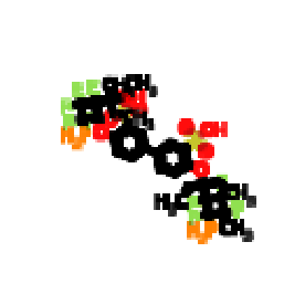 CCC(C)(CC)C1(F)C(F)(F)C(F)(P)C1(F)Oc1ccc(-c2ccc(OC(CC)(CC)C3(F)C(F)(F)C(C)(F)C3(F)P)c(S(=O)(=O)O)c2)cc1S(=O)(=O)O